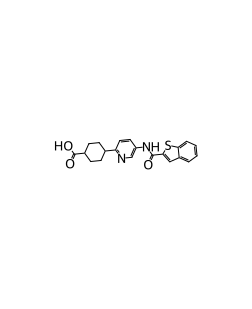 O=C(Nc1ccc(C2CCC(C(=O)O)CC2)nc1)c1cc2ccccc2s1